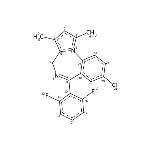 Cc1cc(C)n2c1CN=C(c1c(F)cccc1F)c1cc(Cl)ccc1-2